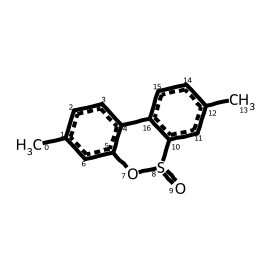 Cc1ccc2c(c1)OS(=O)c1cc(C)ccc1-2